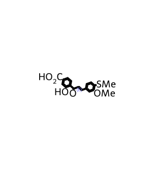 COc1cc(/C=C/C(=O)c2ccc(C(=O)O)cc2O)ccc1SC